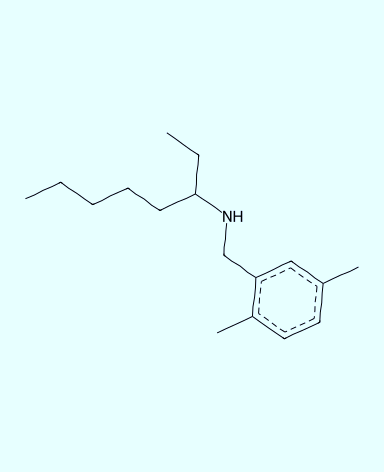 CCCCCC(CC)NCc1cc(C)ccc1C